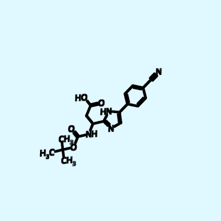 CC(C)(C)OC(=O)NC(CC(=O)O)c1ncc(-c2ccc(C#N)cc2)[nH]1